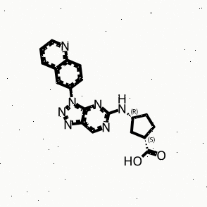 O=C(O)[C@H]1CC[C@@H](Nc2ncc3nnn(-c4ccc5ncccc5c4)c3n2)C1